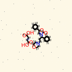 O=C(O)/C=C/C(=O)O.O=C1OC(c2ccccc2)CN1C(CCN1CCOCC1)c1ccccc1